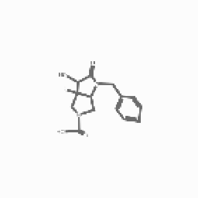 O=C(O)N1CC2N(Cc3ccccc3)C(=O)C(O)C2(F)C1